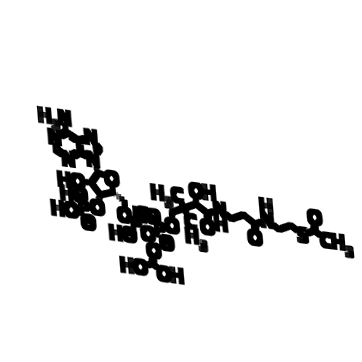 CC(=O)SCCNC(=O)CCNC(=O)C(O)C(C)(C)COP(=O)(O)OP(=O)(O)OC[C@H]1O[C@@H](n2cnc3c(N)ncnc32)[C@H](O)[C@@H]1OP(=O)(O)O.O=C(O)O